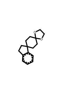 c1ccc2c(c1)CCC21CCC2(CC1)OCCO2